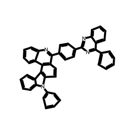 c1ccc(-c2nc(-c3ccc(-c4nc5ccccc5c5c4ccc4c5c5ccccc5n4-c4ccccc4)cc3)nc3ccccc23)cc1